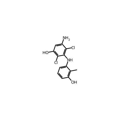 Cc1c(O)cccc1Nc1c(Cl)c(N)cc(O)c1Cl